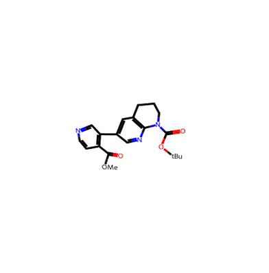 COC(=O)c1ccncc1-c1cnc2c(c1)CCCN2C(=O)OC(C)(C)C